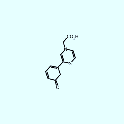 O=C(O)CN1C=CSC(C2=CC=CC(=O)C2)=C1